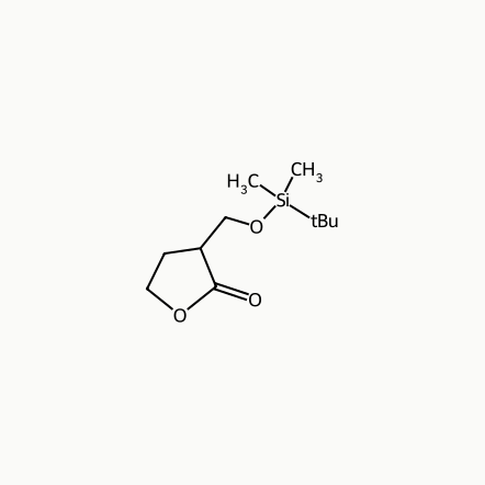 CC(C)(C)[Si](C)(C)OCC1CCOC1=O